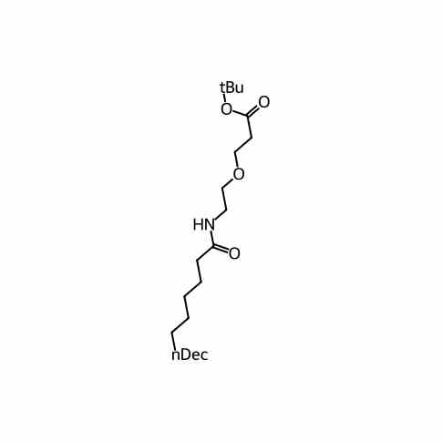 CCCCCCCCCCCCCCCC(=O)NCCOCCC(=O)OC(C)(C)C